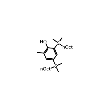 CCCCCCCCS(C)(C)c1cc(C)c(O)c(S(C)(C)CCCCCCCC)c1